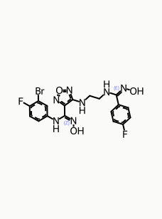 O/N=C(\Nc1ccc(F)c(Br)c1)c1nonc1NCCN/C(=N/O)c1ccc(F)cc1